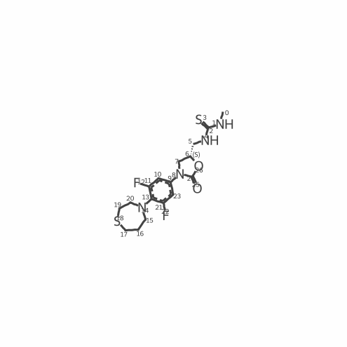 CNC(=S)NC[C@H]1CN(c2cc(F)c(N3CCCSCC3)c(F)c2)C(=O)O1